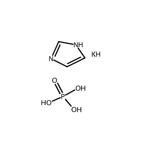 O=P(O)(O)O.[KH].c1c[nH]cn1